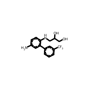 Nc1ccc(NCC(O)CO)c(-c2cccc(C(F)(F)F)c2)c1